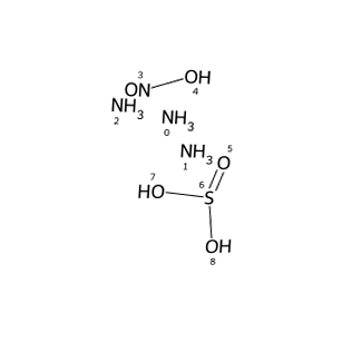 N.N.N.O=NO.O=S(O)O